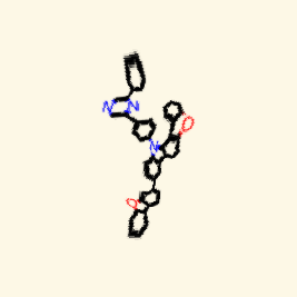 c1ccc(-c2cncc(-c3ccc(-n4c5ccc(-c6ccc7c(c6)oc6ccccc67)cc5c5ccc6oc7ccccc7c6c54)cc3)n2)cc1